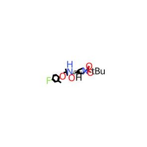 Cc1cc(F)ccc1OCC(C)(C)NC(=O)[C@@H]1C2CN(C(=O)OC(C)(C)C)C[C@H]21